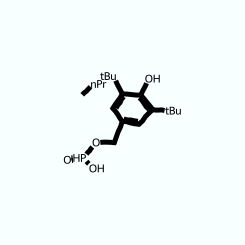 CC(C)(C)c1cc(CO[PH](=O)O)cc(C(C)(C)C)c1O.CCCC